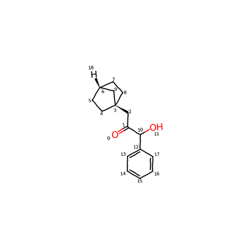 O=C(C[C@]12CC[C@H](CC1)C2)C(O)c1ccccc1